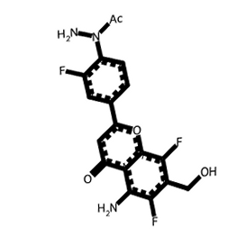 CC(=O)N(N)c1ccc(-c2cc(=O)c3c(N)c(F)c(CO)c(F)c3o2)cc1F